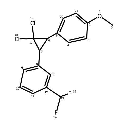 COc1ccc(C2C(c3cccc(C(F)F)c3)C2(Cl)Cl)cc1